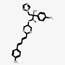 C[C@@H](SC1COC(C=CC=Cc2ccc(C(F)(F)F)cc2)OC1)[C@](O)(Cn1cncn1)c1ccc(C(F)(F)F)cc1